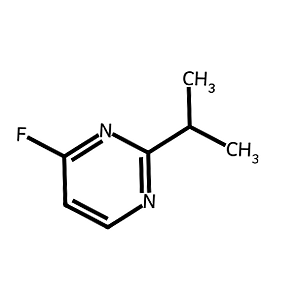 CC(C)c1nccc(F)n1